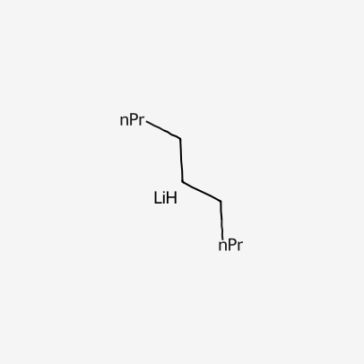 [CH2]CCCCCCCC.[LiH]